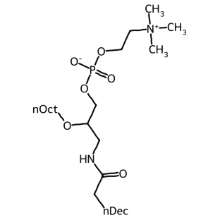 CCCCCCCCCCCC(=O)NCC(COP(=O)([O-])OCC[N+](C)(C)C)OCCCCCCCC